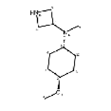 CO[C@H]1CC[C@H](N(C)C2CNC2)CC1